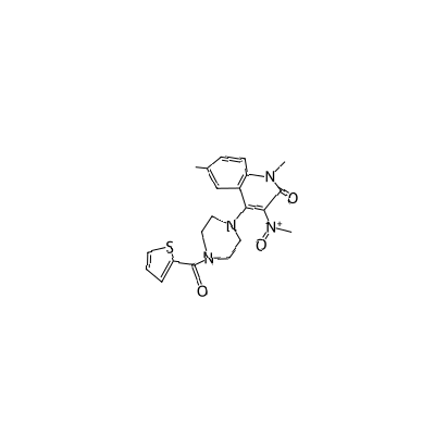 Cc1ccc2c(c1)c(N1CCN(C(=O)c3cccs3)CC1)c([N+](C)=O)c(=O)n2C